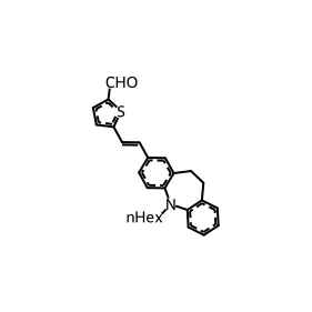 CCCCCCN1c2ccccc2CCc2cc(/C=C/c3ccc(C=O)s3)ccc21